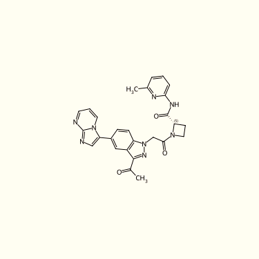 CC(=O)c1nn(CC(=O)N2CC[C@H]2C(=O)Nc2cccc(C)n2)c2ccc(-c3cnc4ncccn34)cc12